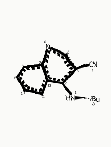 CC[C@H](C)Nc1c(C#N)cnc2ccccc12